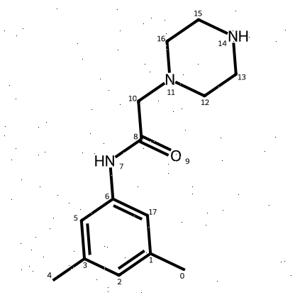 Cc1cc(C)cc(NC(=O)CN2CCNCC2)c1